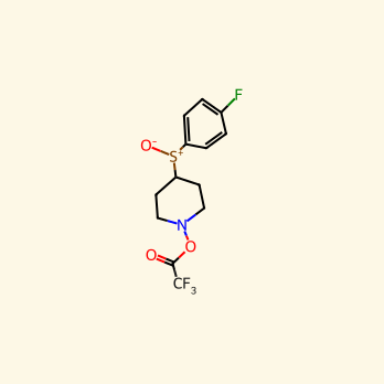 O=C(ON1CCC([S+]([O-])c2ccc(F)cc2)CC1)C(F)(F)F